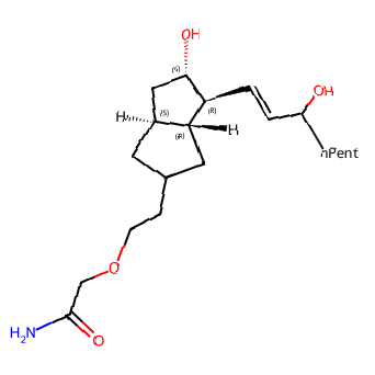 CCCCCC(O)C=C[C@H]1[C@@H]2CC(CCOCC(N)=O)C[C@H]2C[C@@H]1O